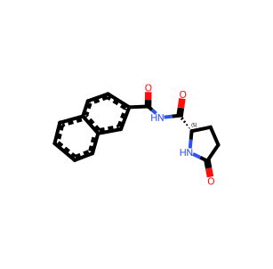 O=C1CC[C@@H](C(=O)NC(=O)c2ccc3ccccc3c2)N1